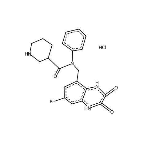 Cl.O=C(C1CCCNC1)N(Cc1cc(Br)cc2[nH]c(=O)c(=O)[nH]c12)c1ccccc1